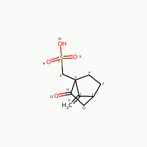 C=C1C2CCC1(CS(=O)(=O)O)C(=O)C2